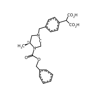 C[C@H]1CN(Cc2ccc(C(C(=O)O)C(=O)O)cc2)CCN1C(=O)OCc1ccccc1